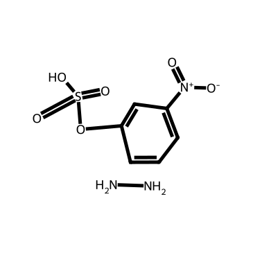 NN.O=[N+]([O-])c1cccc(OS(=O)(=O)O)c1